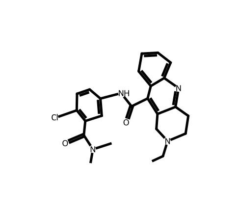 CCN1CCc2nc3ccccc3c(C(=O)Nc3ccc(Cl)c(C(=O)N(C)C)c3)c2C1